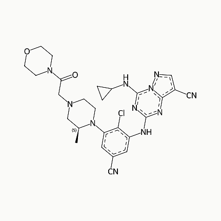 C[C@H]1CN(CC(=O)N2CCOCC2)CCN1c1cc(C#N)cc(Nc2nc(NC3CC3)n3ncc(C#N)c3n2)c1Cl